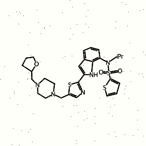 CC(C)N(c1cccc2cc(-c3ncc(CN4CCN(CC5CCCO5)CC4)s3)[nH]c12)S(=O)(=O)c1cccs1